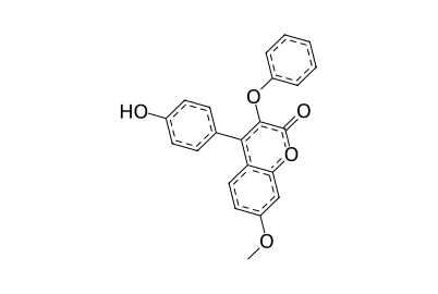 COc1ccc2c(-c3ccc(O)cc3)c(Oc3ccccc3)c(=O)oc2c1